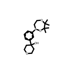 CC1(C)OCCB(c2cccc(C3(O)CCOCC3)c2)OC1(C)C